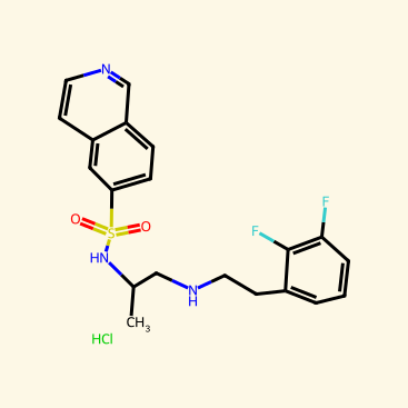 CC(CNCCc1cccc(F)c1F)NS(=O)(=O)c1ccc2cnccc2c1.Cl